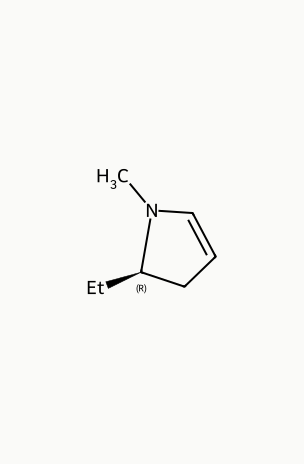 CC[C@@H]1CC=CN1C